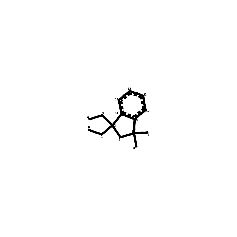 CCC1(CC)CC(C)(C)c2ccccc21